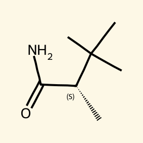 C[C@H](C(N)=O)C(C)(C)C